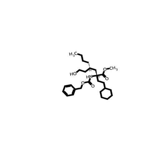 CCCC[C@@H](CCO)C[C@@](CCC1CCCCC1)(NC(=O)OCc1ccccc1)C(=O)OC